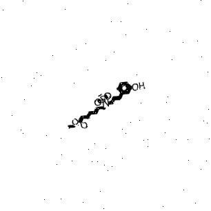 CCOC(=O)CCCCCCN(CC=Cc1cccc(O)c1)S(C)(=O)=O